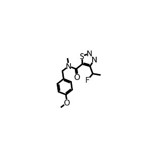 COc1ccc(CN(C)C(=O)c2snnc2C(C)F)cc1